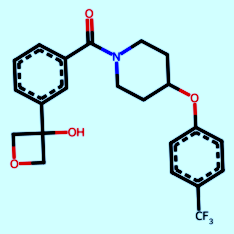 O=C(c1cccc(C2(O)COC2)c1)N1CCC(Oc2ccc(C(F)(F)F)cc2)CC1